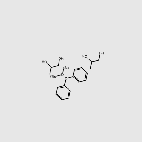 CC(O)CO.CC(O)CO.CCCCOCCCC.c1ccc(Oc2ccccc2)cc1